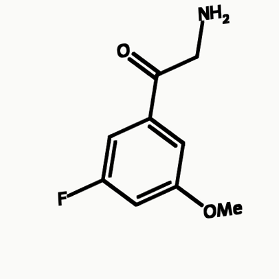 COc1cc(F)cc(C(=O)CN)c1